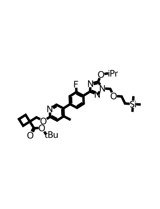 Cc1cc(OCC2(C(=O)OC(C)(C)C)CCC2)ncc1-c1ccc(-c2nc(OC(C)C)n(COCC[Si](C)(C)C)n2)c(F)c1